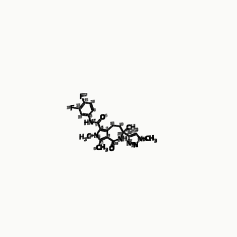 Cc1c2c(c(C(=O)Nc3ccc(F)c(F)c3)n1C)CCC(C)(c1cn(C)nn1)NC2=O